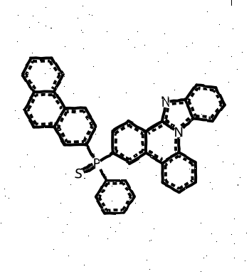 S=P(c1ccccc1)(c1ccc2c(ccc3ccccc32)c1)c1ccc2c(c1)c1ccccc1n1c3ccccc3nc21